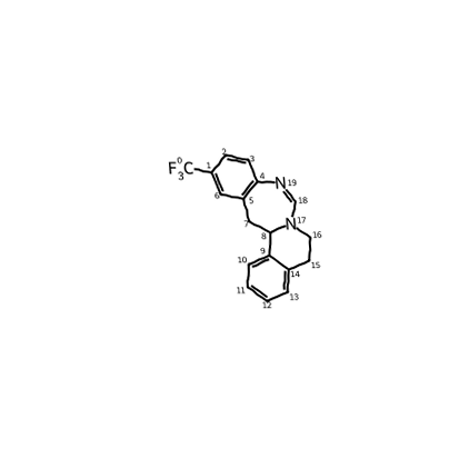 FC(F)(F)c1ccc2c(c1)CC1c3ccccc3CCN1C=N2